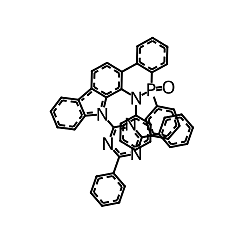 O=P1(c2ccccc2)c2ccccc2-c2ccc3c4ccccc4n(-c4nc(-c5ccccc5)nc(-c5ccccc5)n4)c3c2N1c1ccccc1